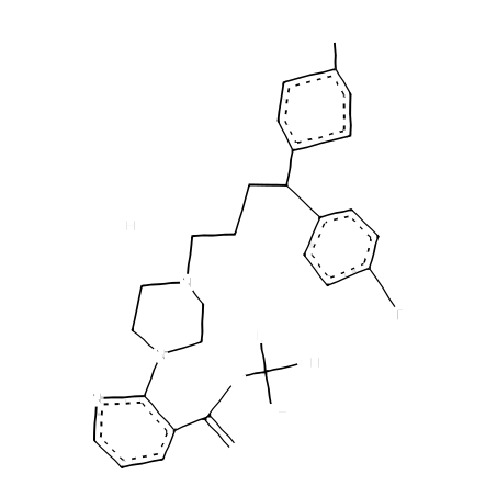 CCC(C)(C)OC(=O)c1cccnc1N1CCN(CCCC(c2ccc(F)cc2)c2ccc(F)cc2)CC1.Cl